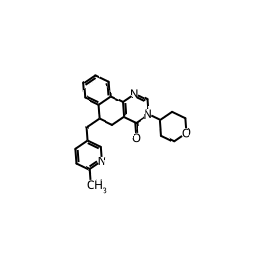 Cc1ccc(CC2Cc3c(ncn(C4CCOCC4)c3=O)-c3ccccc32)cn1